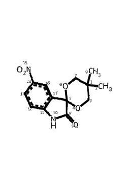 CC1(C)COC2(OC1)C(=O)Nc1ccc([N+](=O)[O-])cc12